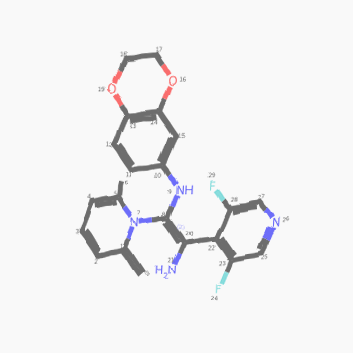 C=C1C=CC=C(C)N1/C(Nc1ccc2c(c1)OCCO2)=C(\N)c1c(F)cncc1F